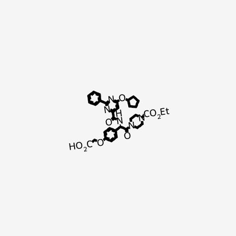 CCOC(=O)N1CCN(C(=O)[C@@H](NC(=O)c2cc(OC3CCCC3)nc(-c3ccccc3)n2)c2ccc(OCC(=O)O)cc2)CC1